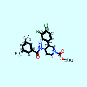 CC(C)(C)OC(=O)N1CC[C@@H](NC(=O)c2cc(C(F)(F)F)cc(C(F)(F)F)c2)C(c2ccc(Cl)c(F)c2)C1